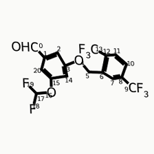 O=Cc1cc(OCc2cc(C(F)(F)F)ccc2C(F)(F)F)cc(OC(F)F)c1